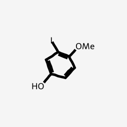 COc1ccc(O)cc1I